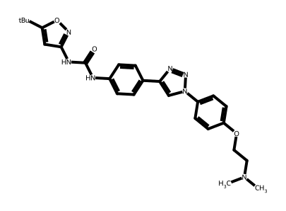 CN(C)CCOc1ccc(-n2cc(-c3ccc(NC(=O)Nc4cc(C(C)(C)C)on4)cc3)nn2)cc1